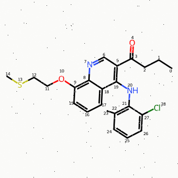 CCCC(=O)c1cnc2c(OCCSC)cccc2c1Nc1c(C)cccc1Cl